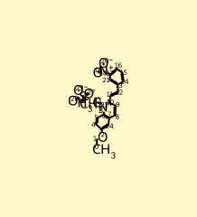 CCOc1ccc2c(ccc(/C=C/c3cccc([N+](=O)[O-])c3)[n+]2C)c1.CS(=O)(=O)[O-]